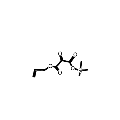 C=CCOC(=O)C(=O)C(=O)O[Si](C)(C)C